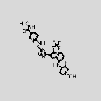 CNC(=O)c1ccc(NCc2nc(-c3cc4c(N[C@@H]5CCN(C)C[C@@H]5F)cccn4c3SC(F)(F)F)no2)nc1